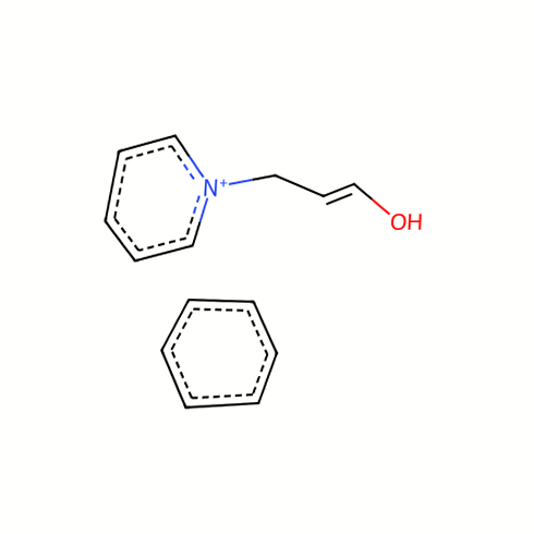 OC=CC[n+]1ccccc1.c1ccccc1